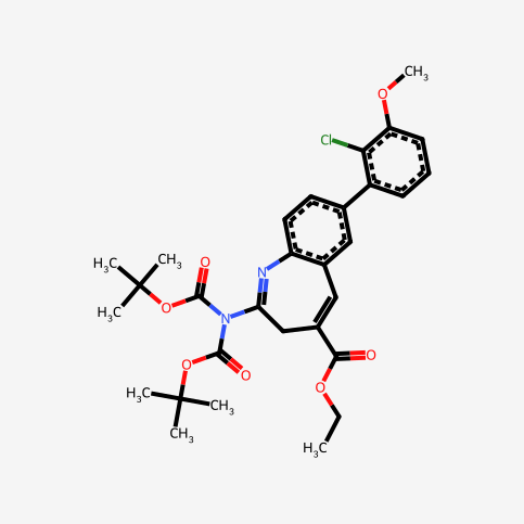 CCOC(=O)C1=Cc2cc(-c3cccc(OC)c3Cl)ccc2N=C(N(C(=O)OC(C)(C)C)C(=O)OC(C)(C)C)C1